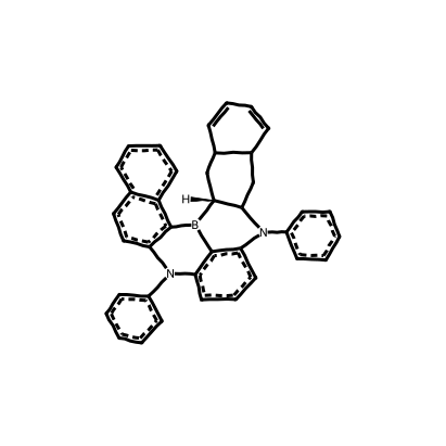 C1=CC2CC3[C@@H](CC2C=C1)B1c2c(cccc2N3c2ccccc2)N(c2ccccc2)c2ccc3ccccc3c21